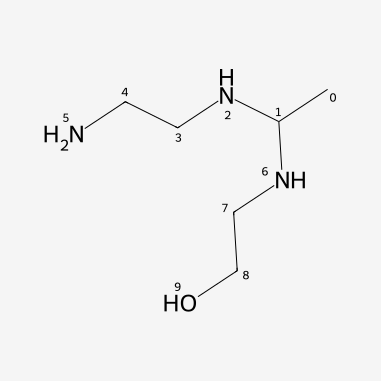 CC(NCCN)NCCO